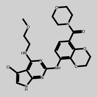 COCCNc1nc(Nc2ccc(C(=O)N3CCOCC3)c3c2OCCO3)nc2[nH]cc(Cl)c12